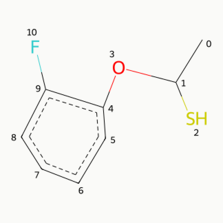 CC(S)Oc1ccccc1F